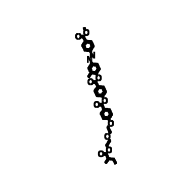 CCC(C)C(=O)OCCOCCOc1ccc(C(=O)Oc2ccc(C(=O)Oc3ccc(/N=N/c4ccc(C(=O)OC)cc4)cc3C)cc2)cc1